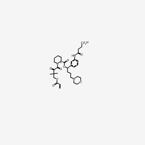 C=CC(=O)OCC(C)(C)C(=O)C(=O)N1CCCC[C@H]1C(=O)OC(CCCN1CCOCC1)c1cccc(NC(=O)CCC(=O)O)c1